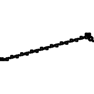 COCCOCCOCCOCCOCCOCCOCCOCCOCCOCCOCCOCCOCCOCCOCCOCCOS(=O)(=O)c1ccc(C)cc1